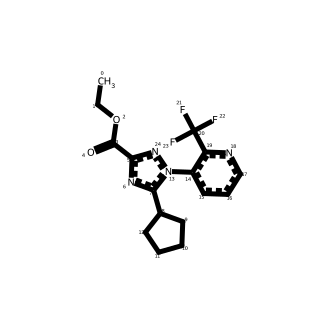 CCOC(=O)c1nc(C2CCCC2)n(-c2cccnc2C(F)(F)F)n1